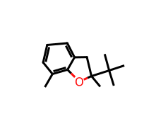 Cc1cccc2c1OC(C)(C(C)(C)C)C2